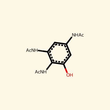 CC(=O)Nc1cc(O)c(NC(C)=O)c(NC(C)=O)c1